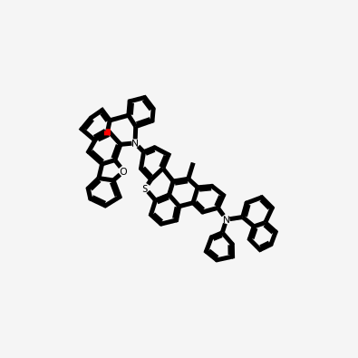 Cc1c2c3c(cccc3c3cc(N(c4ccccc4)c4cccc5ccccc45)ccc13)Sc1cc(N(c3ccccc3-c3ccccc3)c3cccc4c3oc3ccccc34)ccc1-2